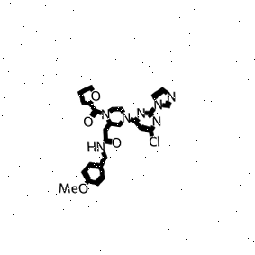 COc1ccc(CNC(=O)CC2CN(c3cc(Cl)nc(-n4ccnc4)n3)CCN2C(=O)C2CCCO2)cc1